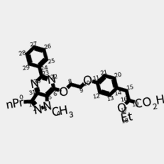 CCCc1nn(C)c2c(OCCOc3ccc(CC(OCC)C(=O)O)cc3)nc(-c3ccccc3)nc12